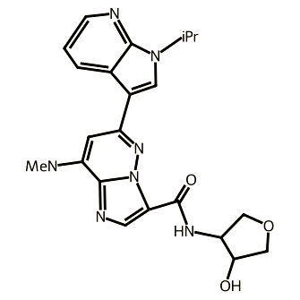 CNc1cc(-c2cn(C(C)C)c3ncccc23)nn2c(C(=O)NC3COCC3O)cnc12